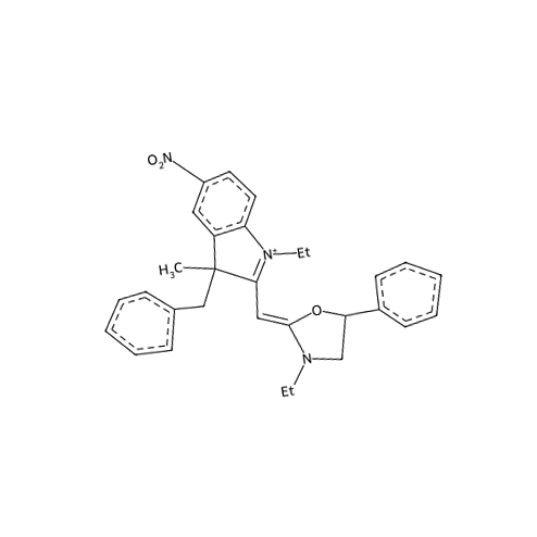 CCN1CC(c2ccccc2)O/C1=C\C1=[N+](CC)c2ccc([N+](=O)[O-])cc2C1(C)Cc1ccccc1